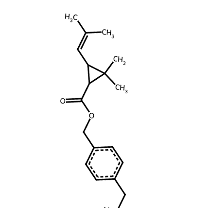 COCc1ccc(COC(=O)C2C(C=C(C)C)C2(C)C)cc1